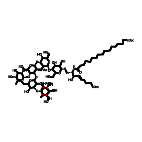 CCCCCCCCCCCCC/C=C/[C@@H](O)[C@H](CO[C@@H]1OC(CO)[C@@H](O[C@@H]2OC(CO)[C@H](O)[C@H](O[C@@H]3OC(CO)[C@@H](O[C@H]4OC(C)[C@@H](O)C(O)[C@@H]4O)[C@H](O[C@@H]4OC(CO)[C@H](O)[C@H](O[C@H]5OC(CO)[C@H](O)[C@H](O)C5NC(C)=O)C4O[C@H]4OC(C)[C@@H](O)C(O)[C@@H]4O)C3NC(C)=O)C2O)[C@H](O)C1O)NC(=O)CCCCCCCCCCCCCCCCCCCCCCCCC